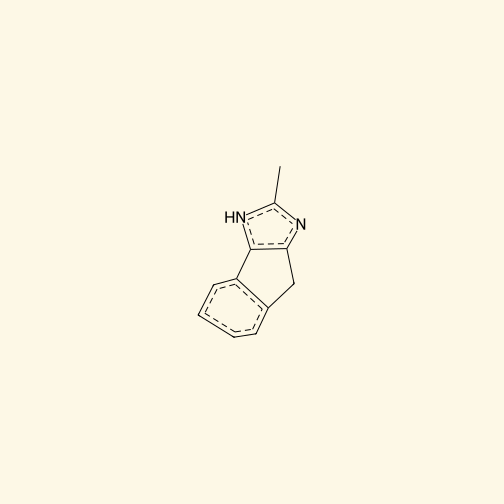 Cc1nc2c([nH]1)-c1ccccc1C2